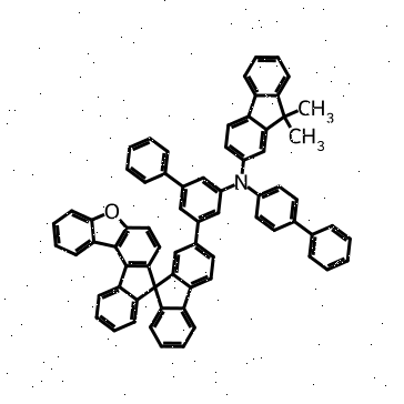 CC1(C)c2ccccc2-c2ccc(N(c3ccc(-c4ccccc4)cc3)c3cc(-c4ccccc4)cc(-c4ccc5c(c4)C4(c6ccccc6-5)c5ccccc5-c5c4ccc4oc6ccccc6c54)c3)cc21